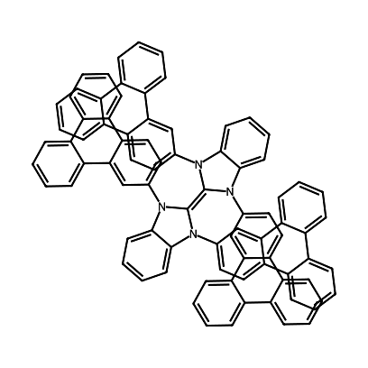 c1ccc2c(c1)N(c1ccc3c4ccccc4c4ccccc4c3c1)C(=C1N(c3ccc4c5ccccc5c5ccccc5c4c3)c3ccccc3N1c1ccc3c4ccccc4c4ccccc4c3c1)N2c1ccc2c3ccccc3c3ccccc3c2c1